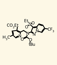 CCOC(=O)c1cc(C)cnc1CN(C(=O)OC(C)(C)C)c1nn2cc(C(F)(F)F)ccc2c1S(=O)(=O)CC